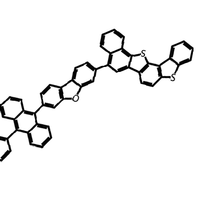 c1ccc(-c2c3ccccc3c(-c3ccc4c(c3)oc3cc(-c5cc6c7ccc8sc9ccccc9c8c7sc6c6ccccc56)ccc34)c3ccccc23)cc1